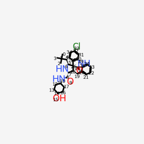 CC(C)(C)C[C@@H]1N[C@@H](C(=O)N[C@H]2CC[C@H](O)CC2)[C@H](Cc2ccccc2)[C@]12C(=O)Nc1cc(Cl)ccc12